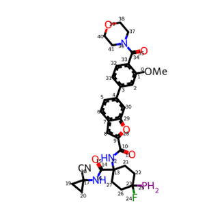 COc1cc(-c2ccc3cc(C(=O)NC4(C(=O)NC5(C#N)CC5)CCC(F)(P)CC4)oc3c2)ccc1C(=O)N1CCOCC1